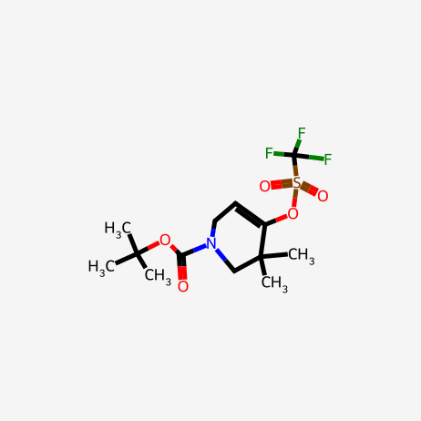 CC(C)(C)OC(=O)N1CC=C(OS(=O)(=O)C(F)(F)F)C(C)(C)C1